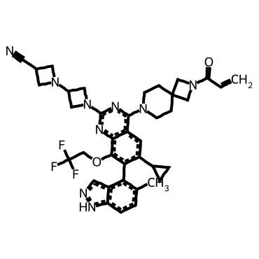 C=CC(=O)N1CC2(CCN(c3nc(N4CC(N5CC(C#N)C5)C4)nc4c(OCC(F)(F)F)c(-c5c(C)ccc6[nH]ncc56)c(C5CC5)cc34)CC2)C1